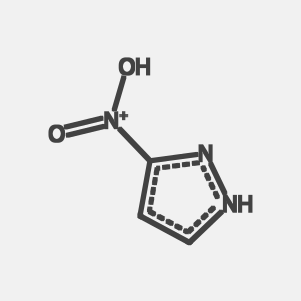 O=[N+](O)c1cc[nH]n1